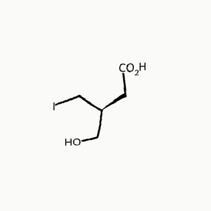 O=C(O)C[C@@H](CO)CI